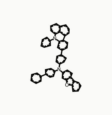 c1ccc(-c2ccc(N(c3ccc(-c4ccc5c(c4)N(c4ccccc4)c4cccc6cccc-5c46)cc3)c3ccc4c(c3)oc3ccccc34)cc2)cc1